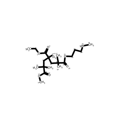 CCOC(=O)C(C)(CC(C)(C)C(=O)OC)CC(C)(C)C(=O)OCCCNC